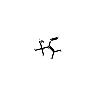 C=NC(=C(C)C)C(C)(C)CCC